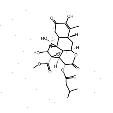 COC(=O)[C@@]12OC[C@]34[C@H]([C@@H](O)[C@@H]1O)[C@@]1(C)CC(=O)C(O)=C(C)[C@@H]1C[C@H]3OC(=O)[C@H](OC(=O)CC(C)C)[C@@H]24